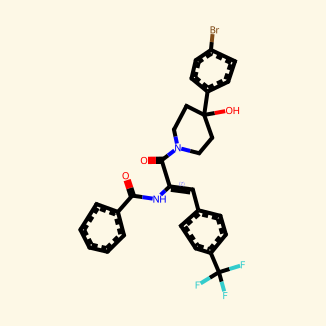 O=C(N/C(=C\c1ccc(C(F)(F)F)cc1)C(=O)N1CCC(O)(c2ccc(Br)cc2)CC1)c1ccccc1